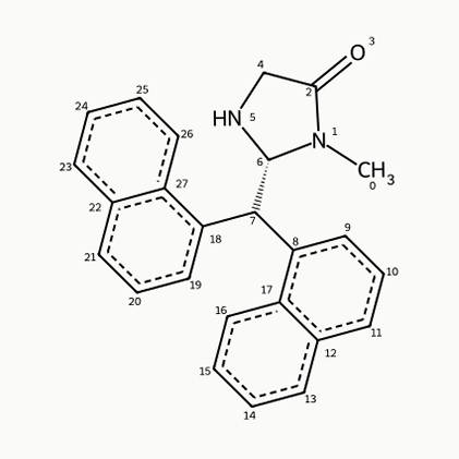 CN1C(=O)CN[C@H]1C(c1cccc2ccccc12)c1cccc2ccccc12